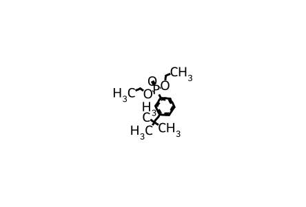 CCOP(=O)(OCC)c1cccc(C(C)(C)C)c1